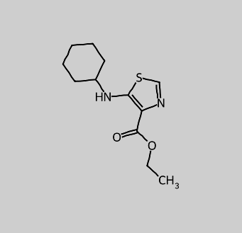 CCOC(=O)c1ncsc1NC1CCCCC1